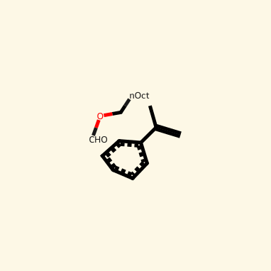 C=C(C)c1ccccc1.CCCCCCCCCOC=O